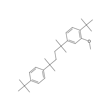 COc1cc(C(C)(C)CCC(C)(C)c2ccc(C(C)(C)C)cc2)ccc1C(C)(C)C